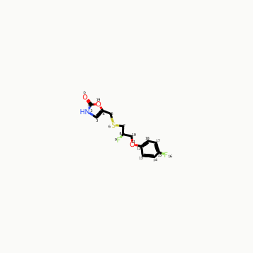 O=c1[nH]cc(CSCC(F)COc2ccc(F)cc2)o1